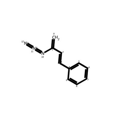 C=C(C=Cc1ccccc1)N=[N+]=[N-]